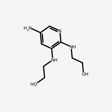 Nc1cnc(NCCO)c(NCCO)c1